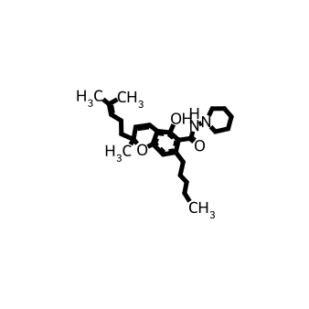 CCCCCc1cc2c(c(O)c1C(=O)NN1CCCCC1)C=CC(C)(CCC=C(C)C)O2